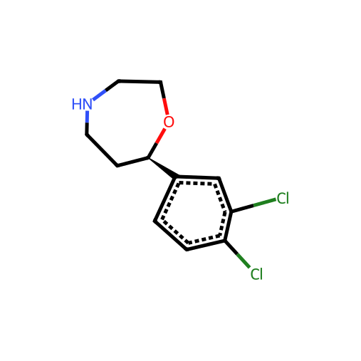 Clc1ccc([C@H]2CCNCCO2)cc1Cl